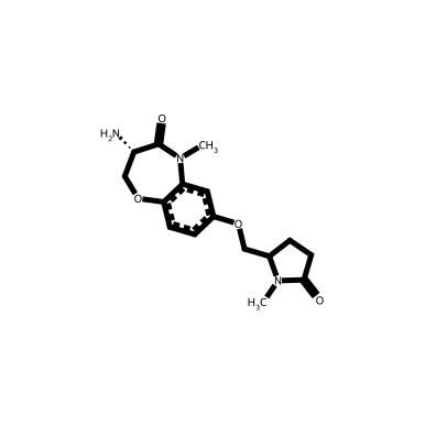 CN1C(=O)[C@@H](N)COc2ccc(OCC3CCC(=O)N3C)cc21